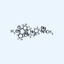 Cc1noc(-c2ccc(N3CCN(C4(C)c5ccccc5C(=O)N(C)c5ccccc54)CC3)c(F)c2)n1